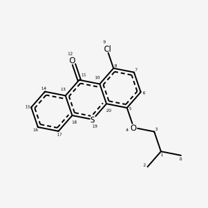 CC(C)COc1ccc(Cl)c2c(=O)c3ccccc3sc12